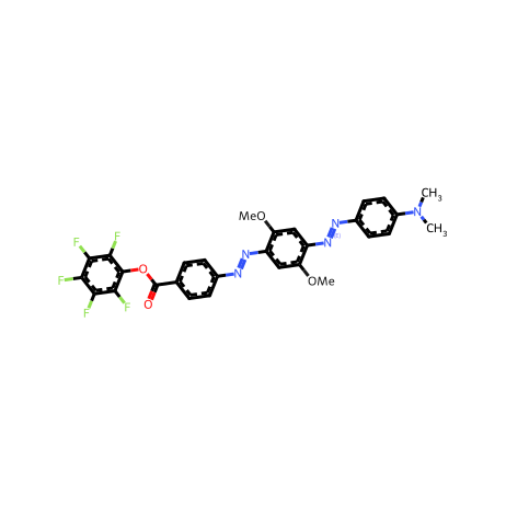 COc1cc(/N=N/c2ccc(N(C)C)cc2)c(OC)cc1N=Nc1ccc(C(=O)Oc2c(F)c(F)c(F)c(F)c2F)cc1